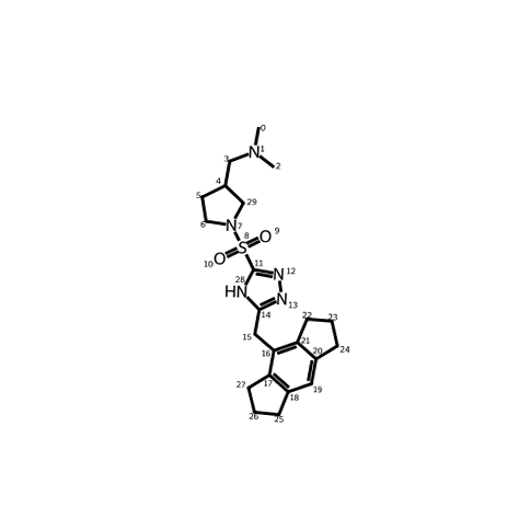 CN(C)CC1CCN(S(=O)(=O)c2nnc(Cc3c4c(cc5c3CCC5)CCC4)[nH]2)C1